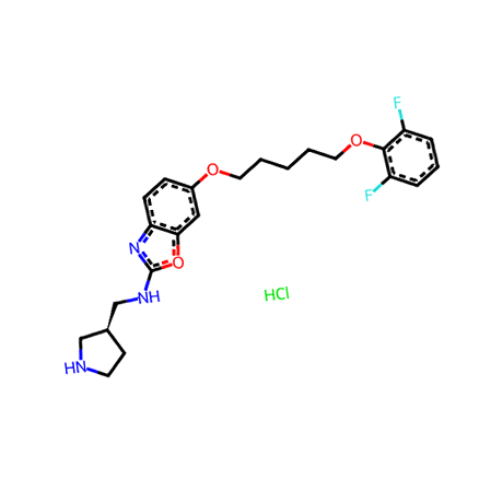 Cl.Fc1cccc(F)c1OCCCCCOc1ccc2nc(NC[C@H]3CCNC3)oc2c1